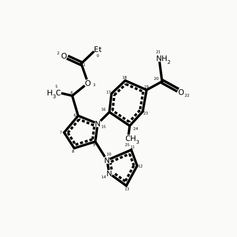 CCC(=O)OC(C)c1ccc(-n2cccn2)n1-c1ccc(C(N)=O)cc1C